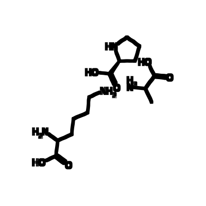 CC(N)C(=O)O.NCCCCC(N)C(=O)O.O=C(O)[C@@H]1CCCN1